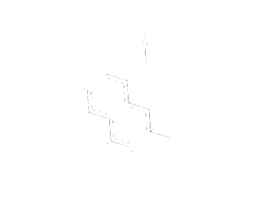 CCCOc1ccc(F)c2ccc(F)cc12